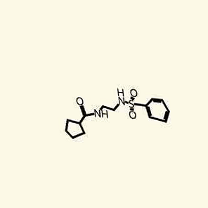 O=C(NCCNS(=O)(=O)c1ccccc1)C1CCCC1